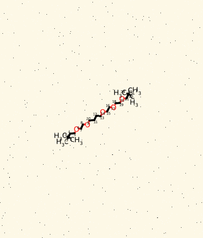 CC(C)(C)CCOCCOCCCCOCCOCCOCC(C)(C)C